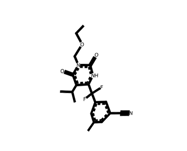 CCOCn1c(=O)[nH]c(C(F)(F)c2cc(C)cc(C#N)c2)c(C(C)C)c1=O